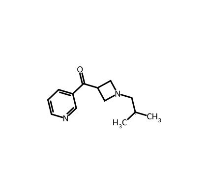 C[C](C)CN1CC(C(=O)c2cccnc2)C1